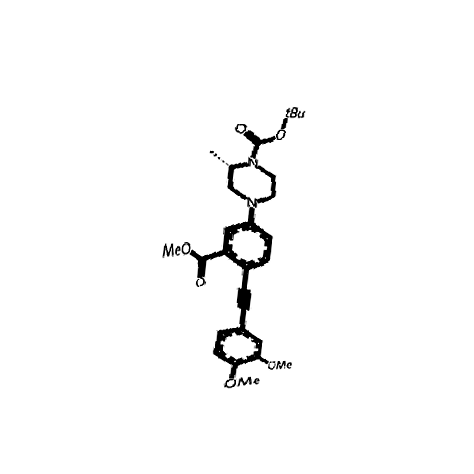 COC(=O)c1cc(N2CCN(C(=O)OC(C)(C)C)[C@@H](C)C2)ccc1C#Cc1ccc(OC)c(OC)c1